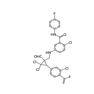 C=C(F)c1ccc(C2C(Cl)(Cl)C2(C=O)CNc2ccc(Cl)c(C(=O)Nc3ccc(F)cc3)c2)cc1Cl